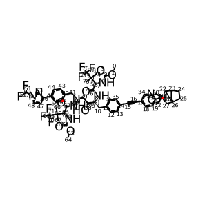 COC(=O)N[C@H](C(=O)N[C@@H](Cc1ccc(C#Cc2ccc(N3CC4CCC(C3)N4C3COC3)nc2)cc1)[C@@H](O)CN(Cc1ccc(-c2ccn(C(F)F)n2)cc1)NC(=O)[C@@H](NC(=O)OC)C(C)(C)C(F)(F)F)C(C)(C)C(F)(F)F